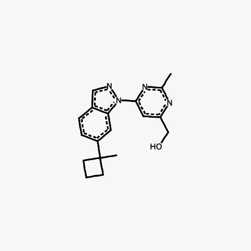 Cc1nc(CO)cc(-n2ncc3ccc(C4(C)CCC4)cc32)n1